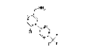 NCc1cc(-c2cnc(C(F)(F)F)cn2)c(Cl)cn1